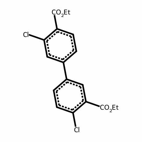 CCOC(=O)c1ccc(-c2ccc(Cl)c(C(=O)OCC)c2)cc1Cl